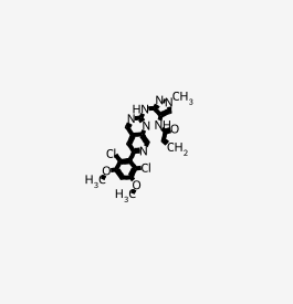 C=CC(=O)Nc1cn(C)nc1Nc1ncc2cc(-c3c(Cl)c(OC)cc(OC)c3Cl)ncc2n1